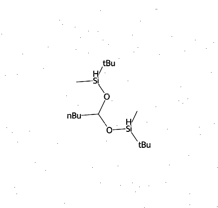 CCCCC(O[SiH](C)C(C)(C)C)O[SiH](C)C(C)(C)C